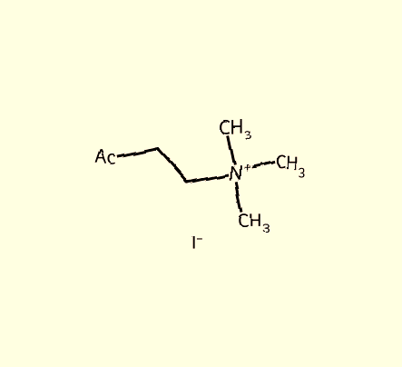 CC(=O)CC[N+](C)(C)C.[I-]